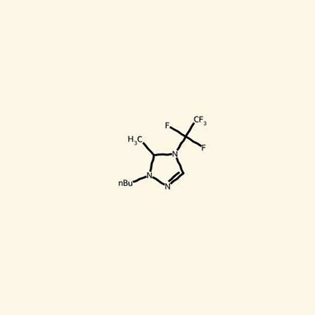 CCCCN1N=CN(C(F)(F)C(F)(F)F)C1C